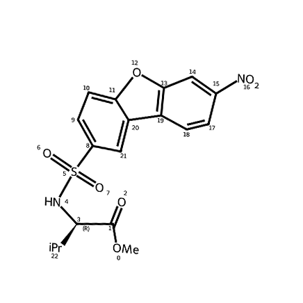 COC(=O)[C@H](NS(=O)(=O)c1ccc2oc3cc([N+](=O)[O-])ccc3c2c1)C(C)C